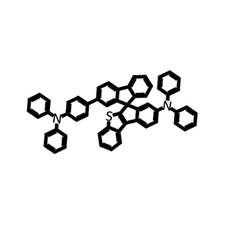 c1ccc(N(c2ccccc2)c2ccc(-c3ccc4c(c3)C3(c5ccccc5-4)c4cc(N(c5ccccc5)c5ccccc5)ccc4-c4c3sc3ccccc43)cc2)cc1